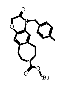 Cc1ccc(CN2C(=O)COc3cc4c(cc32)CCN(C(=O)OC(C)(C)C)CC4)cc1